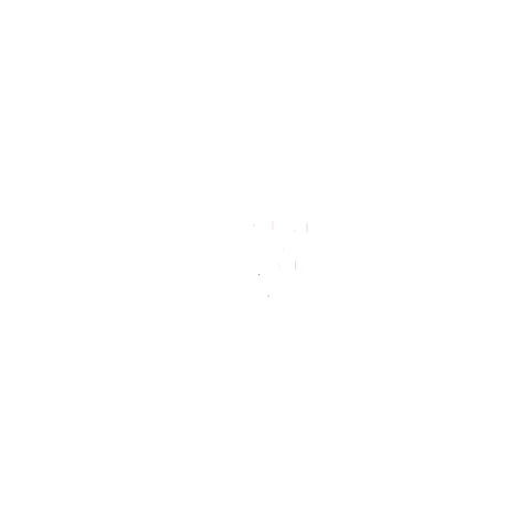 CC1(C)CCCCC1(O)O[SiH3]